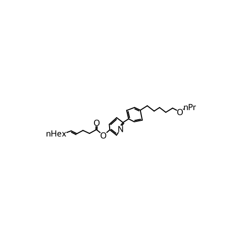 CCCCCCC=CCCC(=O)Oc1ccc(-c2ccc(CCCCCOCCC)cc2)nc1